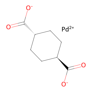 O=C([O-])[C@H]1CC[C@H](C(=O)[O-])CC1.[Pd+2]